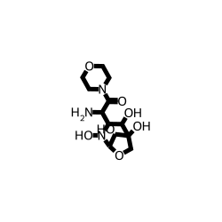 NC(C(=O)N1CCOCC1)C1C(O)C2(O)COC(C2O)N1O